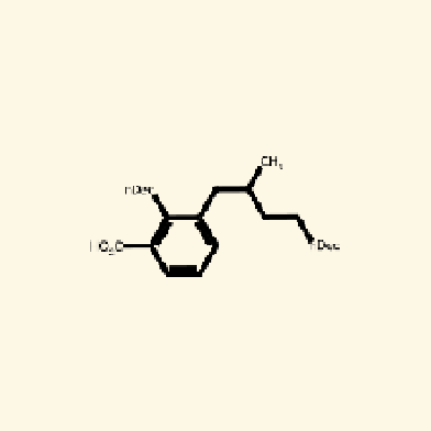 CCCCCCCCCCCCC(C)Cc1cccc(C(=O)O)c1CCCCCCCCCC